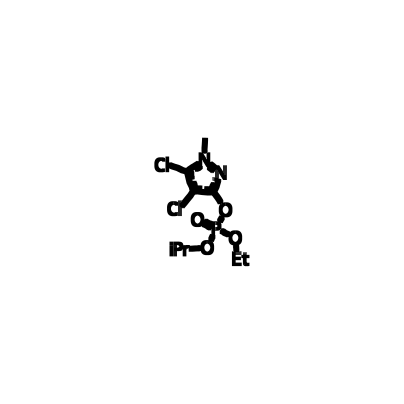 CCOP(=O)(Oc1nn(C)c(Cl)c1Cl)OC(C)C